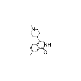 Cc1ccc2c(C3CCN(C)CC3)c[nH]c(=O)c2c1